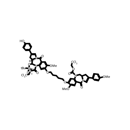 COc1ccc(C2=CN3C(=O)c4cc(OC)c(OCCCCCOc5cc6c(cc5OC)C(=O)N5C=C(c7ccc(O)cc7)C[C@H]5C(O[Si](C)(C)C(C)(C)C)N6C(=O)OCC(Cl)(Cl)Cl)cc4N(C(=O)OCC(Cl)(Cl)Cl)CC3C2)cc1